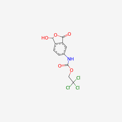 O=C(Nc1ccc2c(c1)C(=O)OC2O)OCC(Cl)(Cl)Cl